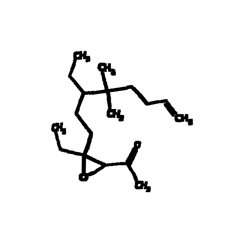 C=CCCC(C)(C)C(CC)CCC1(CC)OC1C(C)=O